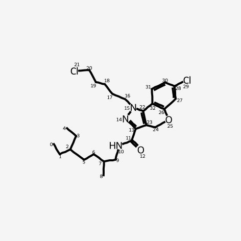 CCC(CC)CCC(C)CNC(=O)c1nn(CCCCCCl)c2c1COc1cc(Cl)ccc1-2